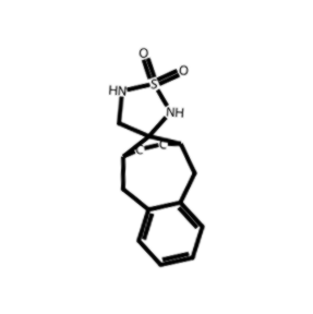 O=S1(=O)NCC2(N1)C1CCC2Cc2ccccc2C1